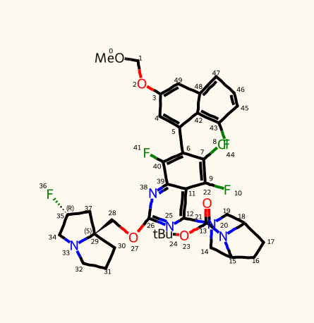 COCOc1cc(-c2c(Cl)c(F)c3c(N4CC5CCC(C4)N5C(=O)OC(C)(C)C)nc(OC[C@@]45CCCN4C[C@H](F)C5)nc3c2F)c2c(F)cccc2c1